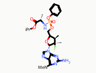 CNc1nc(N)nc2c1ncn2[C@@H]1OC(CO[P@@](=O)(N[C@@H](C)C(=O)OC(C)C)Oc2ccccc2)[C@@H](C)[C@@]1(C)F